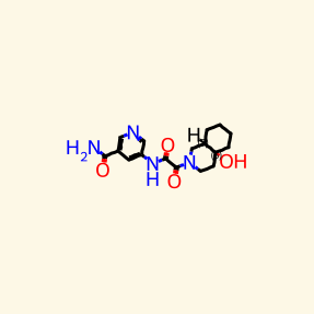 NC(=O)c1cncc(NC(=O)C(=O)N2CC[C@@]3(O)CCCC[C@H]3C2)c1